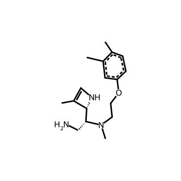 CC1=CN[C@@H]1[C@@H](CN)N(C)CCOc1ccc(C)c(C)c1